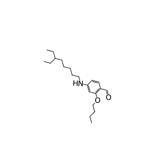 CCCCOc1cc(NCCCCCC(CC)CC)ccc1C=O